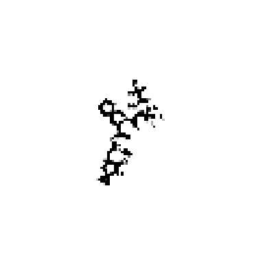 CC(C)(C)[C@H](NC(=O)C(F)(F)F)C(=O)N1CC2(CCCC2)CC1C(=O)N[C@H](C#N)C[C@@H]1CC2(CC2)NC1=O